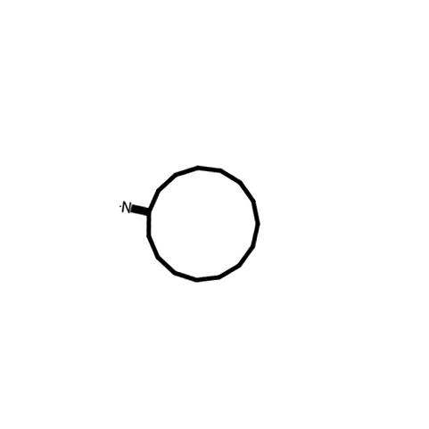 [N]=C1CCCCCCCCCCCCCC1